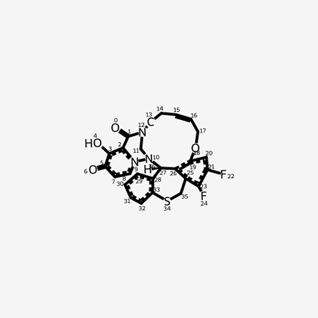 O=C1c2c(O)c(=O)ccn2N2CN1CCC=CCOc1cc(F)c(F)c3c1[C@@H]2c1ccccc1SC3